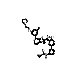 O=C(Nc1cncc(-c2cnc3[nH]nc(-c4nc5c(-c6cc(F)cc(OCCN7CCCC7)c6)nccc5[nH]4)c3c2)c1)C1CC1